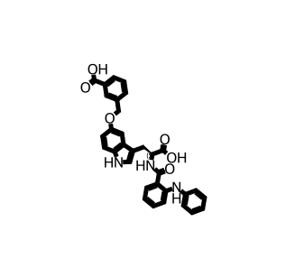 O=C(O)c1cccc(COc2ccc3[nH]cc(C[C@H](NC(=O)c4ccccc4Nc4ccccc4)C(=O)O)c3c2)c1